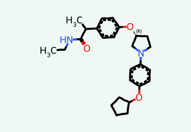 CCNC(=O)C(C)c1ccc(O[C@@H]2CCN(c3ccc(OC4CCCC4)cc3)C2)cc1